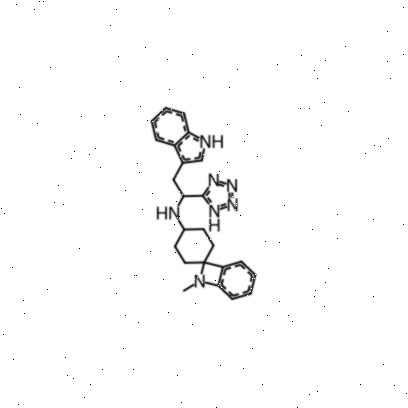 CN1c2ccccc2C12CCC(NC(Cc1c[nH]c3ccccc13)c1nnn[nH]1)CC2